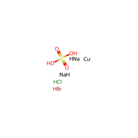 Br.Cl.O=S(=O)(O)O.[Cu].[NaH].[NaH]